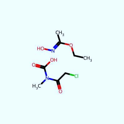 CCOC(C)=NO.CN(C(=O)O)C(=O)CCl